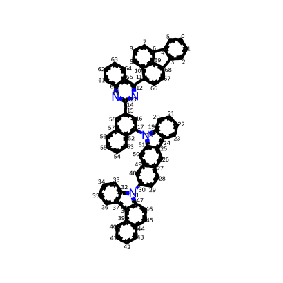 c1ccc2c(c1)-c1cccc3c(-c4nc(-c5cc(-n6c7ccccc7c7cc8ccc(-n9c%10ccccc%10c%10c%11ccccc%11ccc%109)cc8cc76)c6ccccc6c5)nc5ccccc45)ccc-2c13